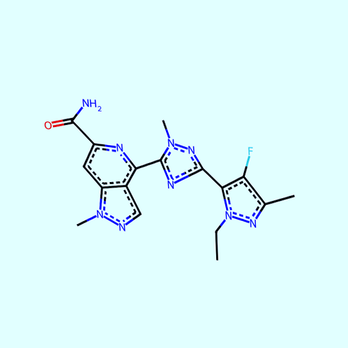 CCn1nc(C)c(F)c1-c1nc(-c2nc(C(N)=O)cc3c2cnn3C)n(C)n1